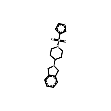 O=S(=O)(c1ccsc1)N1CCC(N2Cc3ccccc3C2)CC1